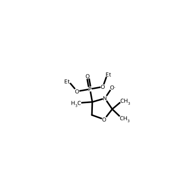 CCOP(=O)(OCC)C1(C)COC(C)(C)N1[O]